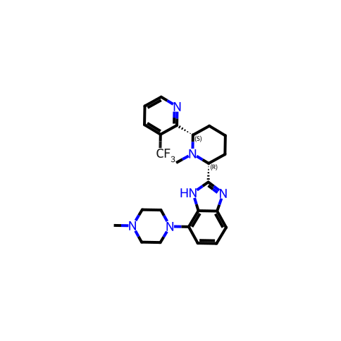 CN1CCN(c2cccc3nc([C@H]4CCC[C@@H](c5ncccc5C(F)(F)F)N4C)[nH]c23)CC1